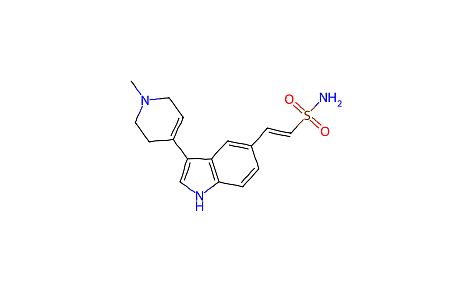 CN1CC=C(c2c[nH]c3ccc(C=CS(N)(=O)=O)cc23)CC1